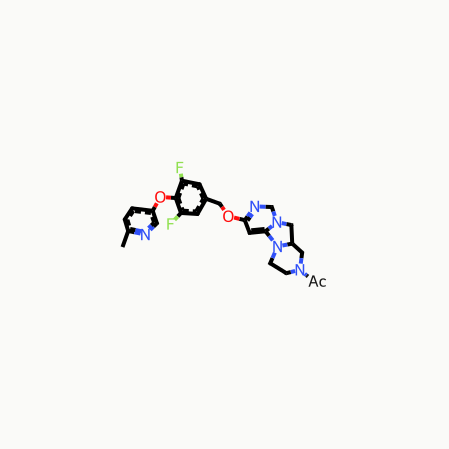 CC(=O)N1CCN2C3=CC(OCc4cc(F)c(Oc5ccc(C)nc5)c(F)c4)=NCN3CC2C1